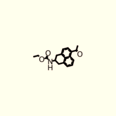 CCOC(=O)NC1Cc2cccc3c(C(C)=O)ccc(c23)C1